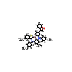 Cc1cc(C(C)(C)C)cc(C)c1N1c2cc(-c3coc4ccccc34)ccc2B2c3sc4ccc(C(C)(C)C)cc4c3N(c3c(C)cc(C(C)(C)C)cc3C)c3cc(C(C)C)cc1c32